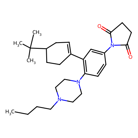 CCCCN1CCN(c2ccc(N3C(=O)CCC3=O)cc2C2=CCC(C(C)(C)C)CC2)CC1